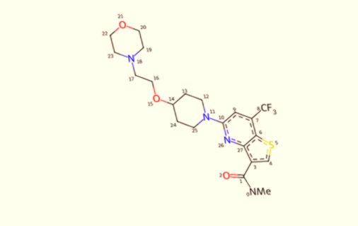 CNC(=O)c1csc2c(C(F)(F)F)cc(N3CCC(OCCN4CCOCC4)CC3)nc12